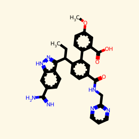 CCC(c1ccc(C(=O)NCc2ncccn2)cc1-c1ccc(OC)cc1C(=O)O)c1n[nH]c2cc(C(=N)N)ccc12